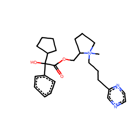 C[N+]1(CCCc2cnccn2)CCCC1COC(=O)C(O)(c1ccccc1)C1CCCC1